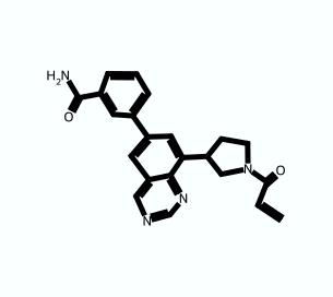 C=CC(=O)N1CCC(c2cc(-c3cccc(C(N)=O)c3)cc3cncnc23)C1